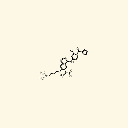 C=C(C(=O)O)c1cc2c(Nc3ccc(C(=O)c4cncs4)c(Cl)c3)ncnc2cc1OCCCCN(C)C